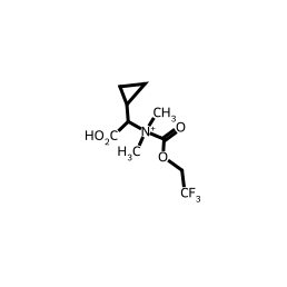 C[N+](C)(C(=O)OCC(F)(F)F)C(C(=O)O)C1CC1